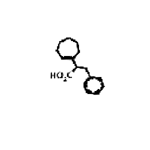 O=C(O)C(Cc1ccccc1)C1=CCCCCC1